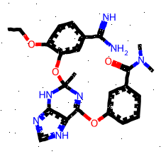 CCOc1ccc(C(=N)N)cc1OC1(C)N=C(Oc2cccc(C(=O)N(C)C)c2)c2[nH]cnc2N1